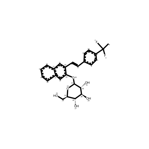 CC(F)(F)c1ccc(/C=C/c2cc3ccccc3cc2OC2O[C@H](CO)[C@@H](O)[C@H](O)[C@H]2O)cc1